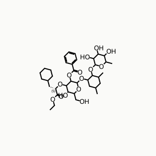 CCOC(=O)[C@H](CC1CCCCC1)OC1C(O)C(CO)OC(OC2CC(C)CC(C)C2OC2OC(C)C(O)C(O)C2O)C1OC(=O)c1ccccc1